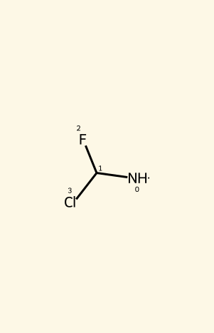 [NH]C(F)Cl